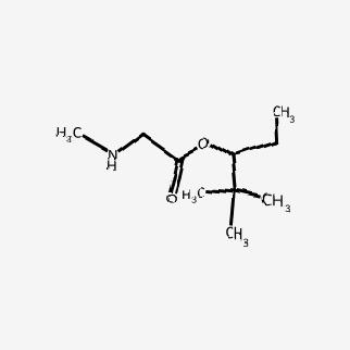 CCC(OC(=O)CNC)C(C)(C)C